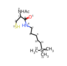 CC(=O)NC(CS)C(=O)NCCCCC[Si](C)(C)C